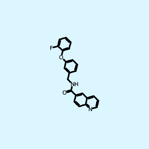 O=C(NCc1cccc(Oc2ccccc2F)c1)c1ccc2ncccc2c1